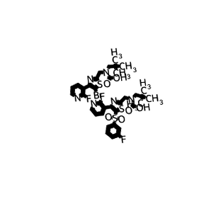 CC(C)(C)CN(Cc1nc(-c2cccnc2F)c(Br)s1)C(=O)O.CC(C)(C)CN(Cc1nc(-c2cccnc2F)c(S(=O)(=O)c2cccc(F)c2)s1)C(=O)O